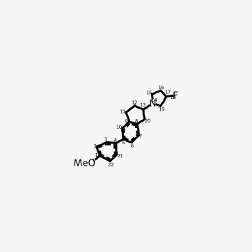 COc1ccc(-c2ccc3c(c2)CCC(N2CCC(F)C2)C3)cc1